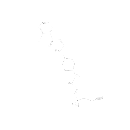 C#CCCC1(C=CC(=O)NC2CCN(c3ccc(-c4ccccc4Cl)nn3)CC2)N=N1